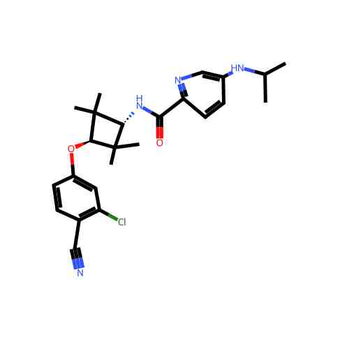 CC(C)Nc1ccc(C(=O)N[C@H]2C(C)(C)[C@H](Oc3ccc(C#N)c(Cl)c3)C2(C)C)nc1